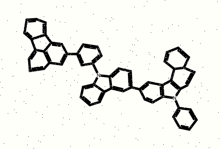 C1=CC2C=Cc3c(c4cc(-c5ccc6c(c5)c5ccccc5n6-c5cccc(-c6cc7c8c(cccc8c6)-c6ccccc6-7)c5)ccc4n3-c3ccccc3)C2C=C1